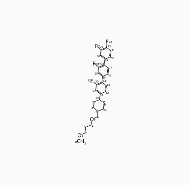 COCCCOCC1CCC(c2ccc(-c3ccc(-c4ccc(F)c(F)c4)c(F)c3)c(F)c2)SC1